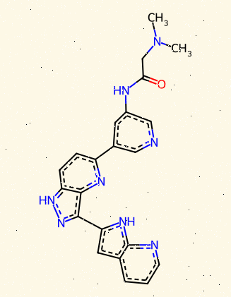 CN(C)CC(=O)Nc1cncc(-c2ccc3[nH]nc(-c4cc5cccnc5[nH]4)c3n2)c1